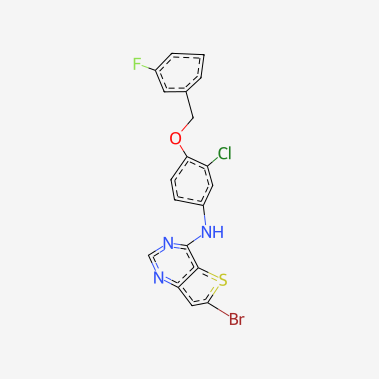 Fc1cccc(COc2ccc(Nc3ncnc4cc(Br)sc34)cc2Cl)c1